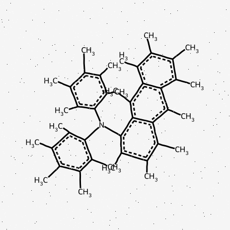 Cc1c(C)c(C)c(N(c2c(C)c(C)c(C)c(C)c2C)c2c(C)c(C)c(C)c3c(C)c4c(C)c(C)c(C)c(C)c4c(C)c23)c(C)c1C